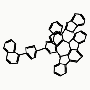 c1ccc(-c2nc(-c3ccc(-c4cccc5ccccc45)cc3)nc(-n3c4ccccc4c4ccc5c6ccccc6n(-c6ccccc6-c6nc7ccccc7o6)c5c43)n2)cc1